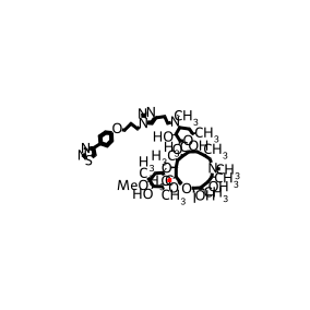 CO[C@]1(C)C[C@H](O[C@H]2[C@H](C)[C@@H](O[C@@H]3O[C@H](C)C[C@H](N(C)CCc4cn(CCCOc5ccc(-c6csnn6)cc5)nn4)[C@H]3O)[C@](C)(O)C[C@@H](C)CN(C)[C@H](C)[C@@H](O)[C@](C)(O)[C@@H](I)OC(=O)[C@@H]2C)O[C@@H](C)[C@@H]1O